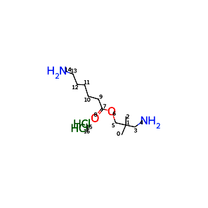 CC(C)(CN)COC(=O)CCCCCN.Cl.Cl